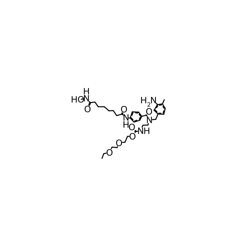 CCOCCOCCOC(=O)NCCN(Cc1ccc(C)c(N)c1)C(=O)c1ccc(NC(=O)CCCCCCC(=O)NO)cc1